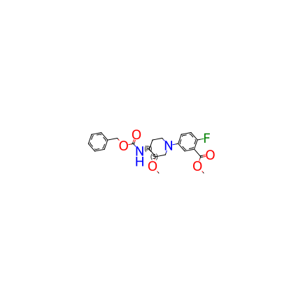 COC(=O)c1cc(N2CC[C@@H](NC(=O)OCc3ccccc3)[C@@H](OC)C2)ccc1F